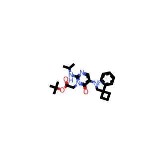 CC(C)Nc1ncc(NCC2(c3ccccc3)CCC2)c(=O)n1CC(=O)OC(C)(C)C